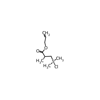 C=CCOC(=O)C(C)CS(C)(C)Cl